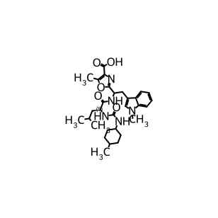 Cc1oc(C(Cc2cn(C)c3ccccc23)NC(=O)[C@H](CC(C)C)NC(=O)NC2CCC(C)CC2)nc1C(=O)O